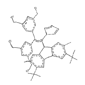 Cc1cc2c(cc1C(C)(C)C)-c1cc(C(C)(C)C)c(C)cc1[CH]2[Zr](=[C](c1cc(CCl)cc(CCl)c1)c1cc(CCl)cc(CCl)c1)[CH]1C=CC=C1